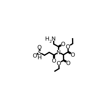 CCOC(=O)C(C(=O)OCC)N(C(=O)CN)C(=O)CC[SH](=O)=O